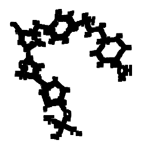 Cc1cc(-c2nc(-c3ccc(OC(F)(F)F)cc3)no2)nn1Cc1ccc(NCCN2CCC(O)CC2)cn1